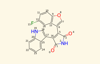 O=C1NC(=O)C(c2coc3ccc(F)cc23)=C1c1c[nH]c2ccccc12